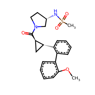 COc1ccccc1-c1ccccc1[C@@H]1C[C@H]1C(=O)N1CC[C@H](NS(C)(=O)=O)C1